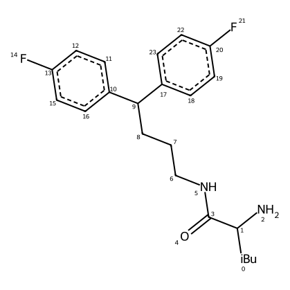 CCC(C)C(N)C(=O)NCCCC(c1ccc(F)cc1)c1ccc(F)cc1